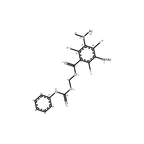 CC(=O)Nc1c(I)c(C(=O)OCOC(=O)Oc2ccccc2)c(I)c(N(C)C(C)=O)c1I